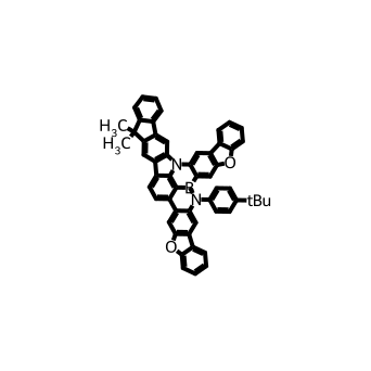 CC(C)(C)c1ccc(N2B3c4cc5oc6ccccc6c5cc4-n4c5cc6c(cc5c5ccc(c3c54)-c3cc4oc5ccccc5c4cc32)C(C)(C)c2ccccc2-6)cc1